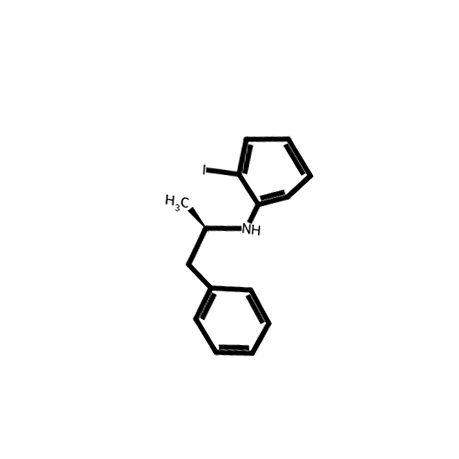 C[C@H](Cc1ccccc1)Nc1ccccc1I